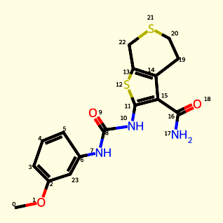 COc1cccc(NC(=O)Nc2sc3c(c2C(N)=O)CCSC3)c1